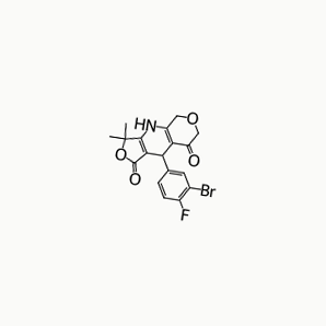 CC1(C)OC(=O)C2=C1NC1=C(C(=O)COC1)C2c1ccc(F)c(Br)c1